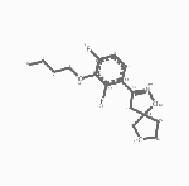 CCCCOc1c(F)ccc(C2=NOC3(CCOC3)C2)c1F